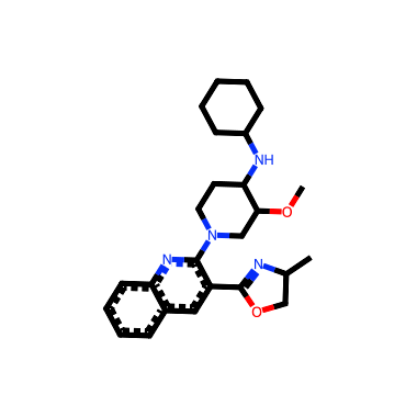 COC1CN(c2nc3ccccc3cc2C2=NC(C)CO2)CCC1NC1CCCCC1